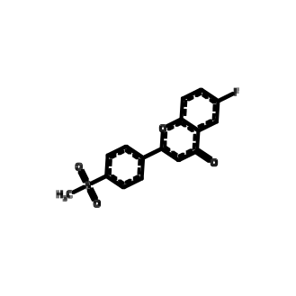 CS(=O)(=O)c1ccc(-c2cc(=O)c3cc(F)ccc3o2)cc1